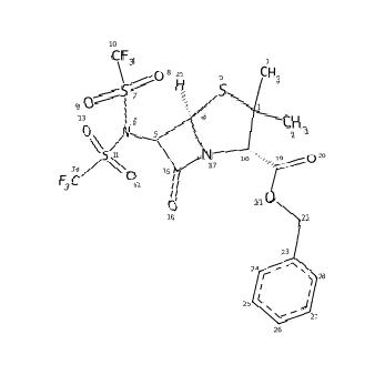 CC1(C)S[C@@H]2C(N(S(=O)(=O)C(F)(F)F)S(=O)(=O)C(F)(F)F)C(=O)N2[C@H]1C(=O)OCc1ccccc1